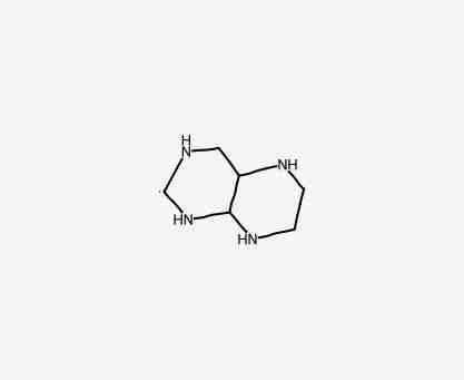 [CH]1NCC2NCCNC2N1